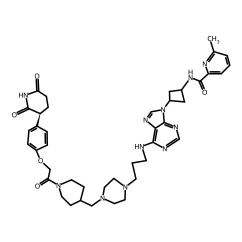 Cc1cccc(C(=O)NC2CC(n3cnc4c(NCCCN5CCN(CC6CCN(C(=O)COc7ccc([C@@H]8CCC(=O)NC8=O)cc7)CC6)CC5)ncnc43)C2)n1